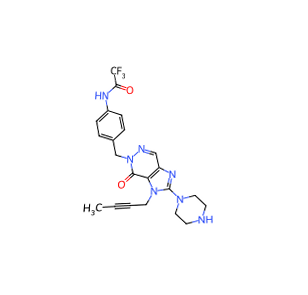 CC#CCn1c(N2CCNCC2)nc2cnn(Cc3ccc(NC(=O)C(F)(F)F)cc3)c(=O)c21